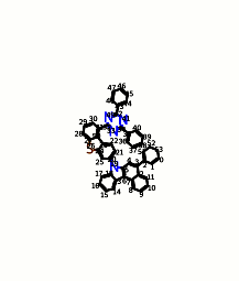 C1=CC(c2cc3c(c4ccccc24)c2ccccc2n3-c2ccc3c(c2)sc2cccc(-c4nc(-c5ccccc5)nc(-c5ccccc5)n4)c23)=CCC1